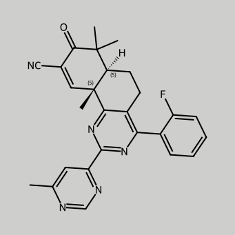 Cc1cc(-c2nc(-c3ccccc3F)c3c(n2)[C@]2(C)C=C(C#N)C(=O)C(C)(C)[C@H]2CC3)ncn1